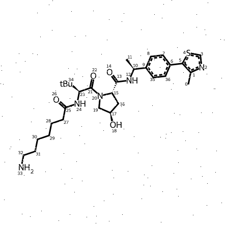 Cc1ncsc1-c1ccc([C@H](C)NC(=O)[C@@H]2C[C@@H](O)CN2C(=O)[C@@H](NC(=O)CCCCCCN)C(C)(C)C)cc1